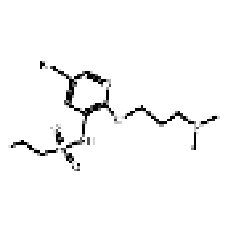 CCCS(=O)(=O)Nc1cc(Br)cnc1OCCCN(C)C